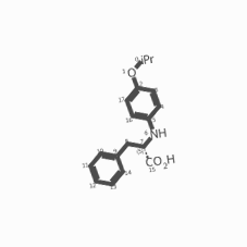 CC(C)Oc1ccc(N[C@@H](Cc2ccccc2)C(=O)O)cc1